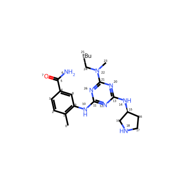 Cc1ccc(C(N)=O)cc1Nc1nc(N[C@H]2CCNC2)nc(N(C)CC(C)(C)C)n1